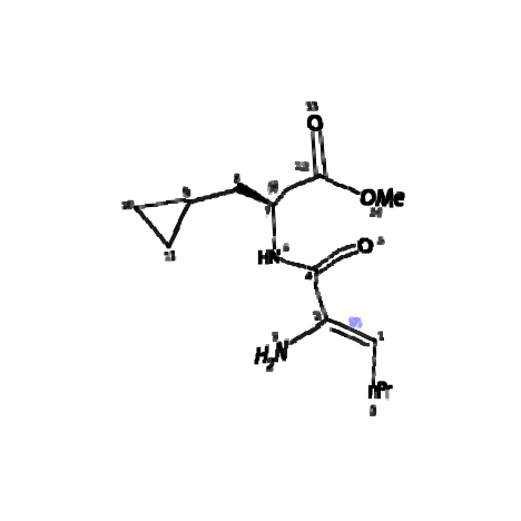 CCC/C=C(\N)C(=O)N[C@@H](CC1CC1)C(=O)OC